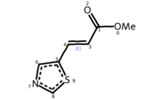 COC(=O)/C=C/c1cncs1